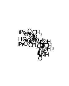 CC(C)OC(=O)OC(C)OP(=O)(OC[C@@]1(CF)O[C@@H](n2ccc(=O)[nH]c2=O)[C@](C)(O)[C@@H]1O)OC(C)OC(O)OC(C)C